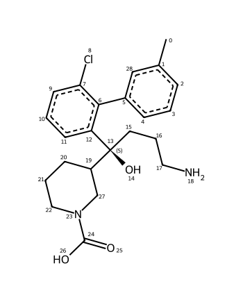 Cc1cccc(-c2c(Cl)cccc2[C@](O)(CCCN)C2CCCN(C(=O)O)C2)c1